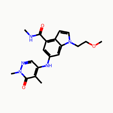 CNC(=O)c1cc(Nc2cnn(C)c(=O)c2C)cc2c1ccn2CCOC